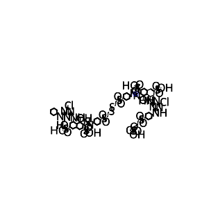 O=S(=O)(O)OCCS(=O)(=O)c1ccc(Nc2nc(Cl)nc(NC3CC(S(=O)(=O)O)=Cc4cc(S(=O)(=O)O)c(/N=N/c5ccc(S(=O)(=O)CCSSCCS(=O)(=O)c6ccc(N=Nc7c(S(=O)(=O)O)cc8cc(S(=O)(=O)O)cc(Nc9nc(Cl)nc(Nc%10ccccc%10)n9)c8c7O)cc6)cc5)c(O)c43)n2)cc1